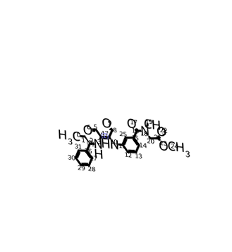 CC[C@@H](N/C(C=O)=C(/C=O)Nc1cccc(C(=O)N(C)CC(=O)OC)c1)c1ccccc1